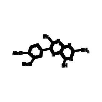 COc1ccc(-c2nc3c(S)nc(N)nc3nc2C(C)C)cc1OC